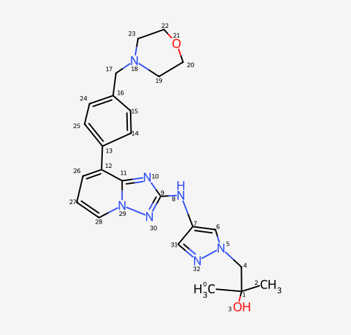 CC(C)(O)Cn1cc(Nc2nc3c(-c4ccc(CN5CCOCC5)cc4)cccn3n2)cn1